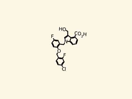 O=C(O)c1cccc2c1c(CO)cn2Cc1cc(F)ccc1OCc1ccc(Cl)cc1F